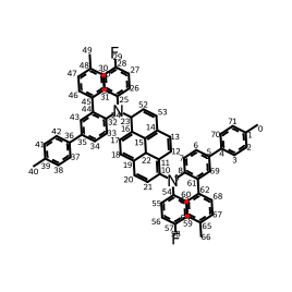 Cc1ccc(-c2ccc(N(C3=C4C=CC5=C6C(=CC=C(C=C3)C46)C(N(c3ccc(F)cc3)c3ccc(-c4ccc(C)cc4)cc3-c3ccc(C)cc3)C=C5)c3ccc(F)cc3)c(-c3ccc(C)cc3)c2)cc1